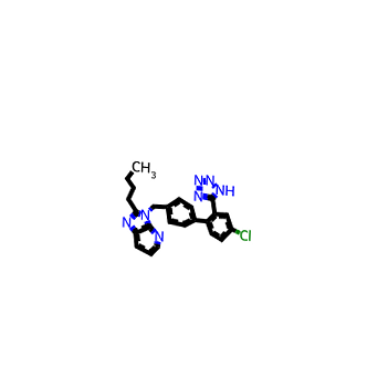 CCCCc1nc2cccnc2n1Cc1ccc(-c2ccc(Cl)cc2-c2nnn[nH]2)cc1